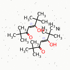 CC(C)(C)C(=O)/C=C(\O)C(C)(C)C.CC(C)(C)C(=O)/C=C(\O)C(C)(C)C.[Ni]